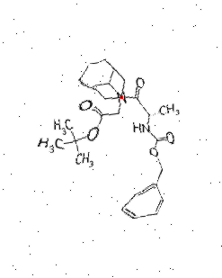 C[C@H](NC(=O)OCc1ccccc1)C(=O)N(CC(=O)OC(C)(C)C)C1C2CCCC1CCC2